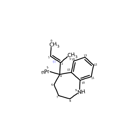 C/C=C(\C)C1(CCC)CCCNc2ccccc21